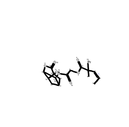 C/C=C\C(C)(C(=O)OCC(=O)O[C@H]1C2CC3C1OC(=O)C3(C#N)C2)C(C)C